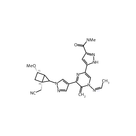 C=C1C(c2cnn(C3C4[C@@H](OC)C[C@@]43CC#N)c2)=NC(c2cc(C(=O)NC)n[nH]2)=CN1/N=C\C